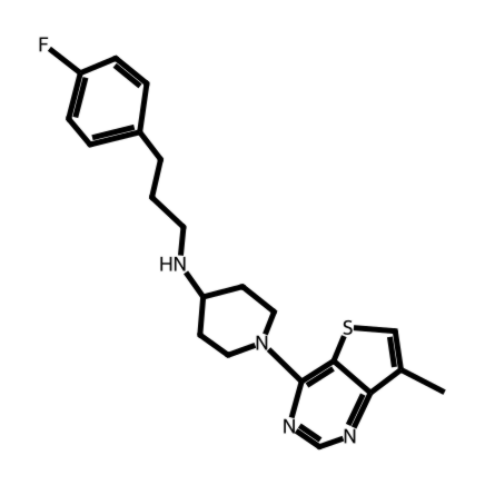 Cc1csc2c(N3CCC(NCCCc4ccc(F)cc4)CC3)ncnc12